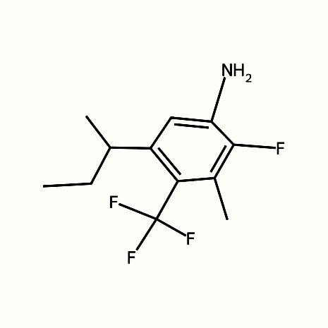 CCC(C)c1cc(N)c(F)c(C)c1C(F)(F)F